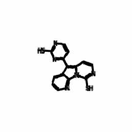 Sc1nccc(-c2c3cccnc3n3c(S)nccc23)n1